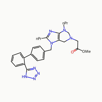 CCCc1nc2c(n1Cc1ccc(-c3ccccc3-c3nnn[nH]3)cc1)CN(CC(=O)OC)CN2CCC